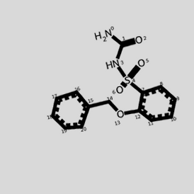 NC(=O)NS(=O)(=O)c1ccccc1OCc1ccccc1